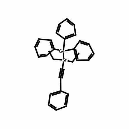 C[CH2][Sn]([C]#Cc1ccccc1)([CH2]C)[Ge]([c]1ccccc1)([c]1ccccc1)[c]1ccccc1